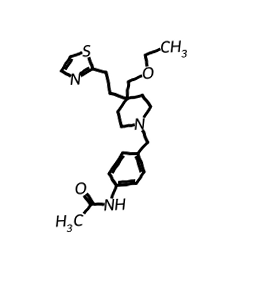 CCOCC1(CCc2nccs2)CCN(Cc2ccc(NC(C)=O)cc2)CC1